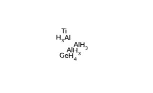 [AlH3].[AlH3].[AlH3].[GeH4].[Ti]